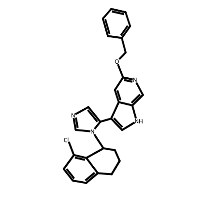 Clc1cccc2c1C(n1cncc1-c1c[nH]c3cnc(OCc4ccccc4)cc13)CCC2